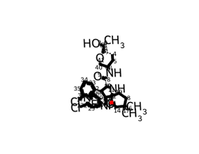 C[C@@H](O)[C@@H]1CC[C@@H](NC(=O)[C@@H]2NC3(CCC(C)(C)CC3)[C@@]3(C(=O)Nc4cc(Cl)ncc43)[C@H]2c2cccc(Cl)c2F)CO1